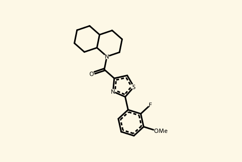 COc1cccc(-c2nc(C(=O)N3CCCC4CCCCC43)cs2)c1F